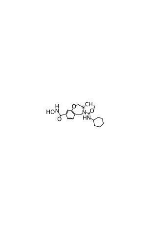 C[C@H]1COc2cc(C(=O)NO)ccc2CN1C(=O)NC1CCCCC1